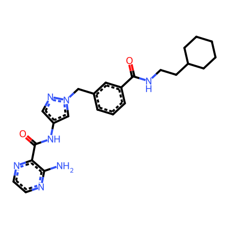 Nc1nccnc1C(=O)Nc1cnn(Cc2cccc(C(=O)NCCC3CCCCC3)c2)c1